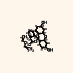 C=COC=C.O=C1OC2(c3ccc(O)cc3Oc3cc(O)ccc32)c2ccccc21